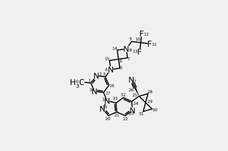 Cc1nc(N2CC3(CN(CC(F)(F)F)C3)C2)cc(-n2ncc3cnc([C@]4(C#N)CC45CC5)cc32)n1